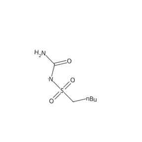 CCCCCS(=O)(=O)[N]C(N)=O